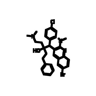 CN(C)CCC(O)(CCc1ccccc1)C(c1ccc(Cl)cc1)c1cc2cc(Br)ccc2nc1N(C)C